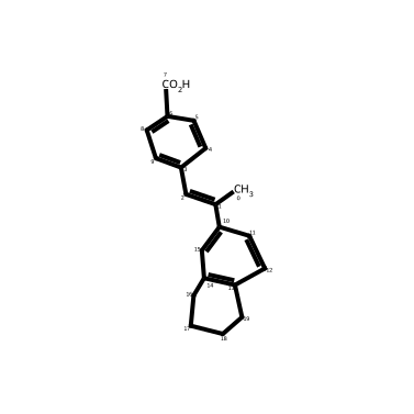 CC(=Cc1ccc(C(=O)O)cc1)c1ccc2c(c1)CCCC2